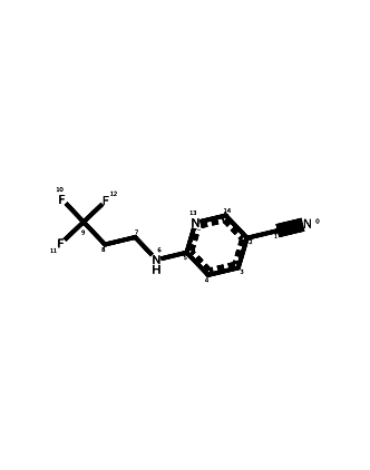 N#Cc1ccc(NCCC(F)(F)F)nc1